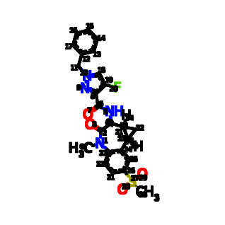 CN1C(=O)[C@@H](NC(=O)c2nn(Cc3ccccc3)cc2F)[C@H]2C[C@H]2c2cc(S(C)(=O)=O)ccc21